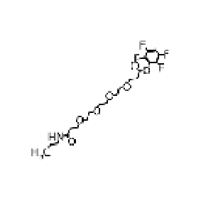 CCCNC(=O)CCOCCOCCOCCOCCC(=O)Oc1c(F)c(F)cc(F)c1F